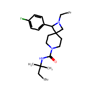 CC(C)CN1CC2(CCN(C(=O)NC(C)(C)CC(C)(C)C)CC2)C1c1ccc(F)cc1